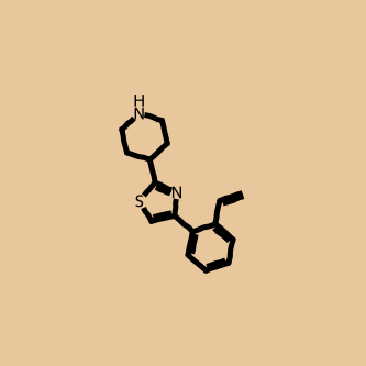 C=Cc1ccccc1-c1csc(C2CCNCC2)n1